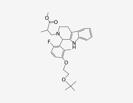 COC(=O)C(C)CN1CCc2c([nH]c3ccccc23)C1c1c(F)ccc(OCCOC(C)(C)C)c1C